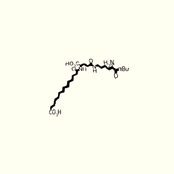 CCCCC(=O)[C@@H](N)CCCCNC(=O)CC[C@H](NC(=O)CCCCCCCCCCCCC(=O)O)C(=O)O